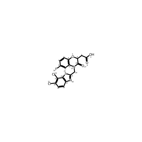 O=C(O)CC1Oc2ccc(F)cc2N(Cc2nc3ccc(Cl)c(Cl)c3s2)C1=O